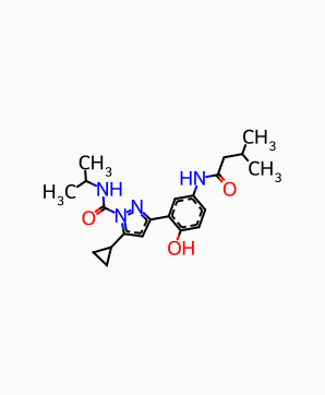 CC(C)CC(=O)Nc1ccc(O)c(-c2cc(C3CC3)n(C(=O)NC(C)C)n2)c1